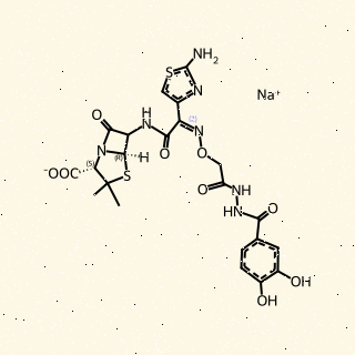 CC1(C)S[C@@H]2C(NC(=O)/C(=N\OCC(=O)NNC(=O)c3ccc(O)c(O)c3)c3csc(N)n3)C(=O)N2[C@H]1C(=O)[O-].[Na+]